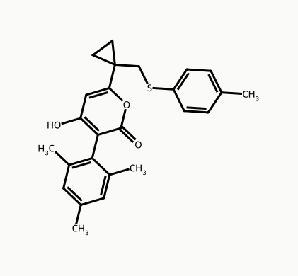 Cc1ccc(SCC2(c3cc(O)c(-c4c(C)cc(C)cc4C)c(=O)o3)CC2)cc1